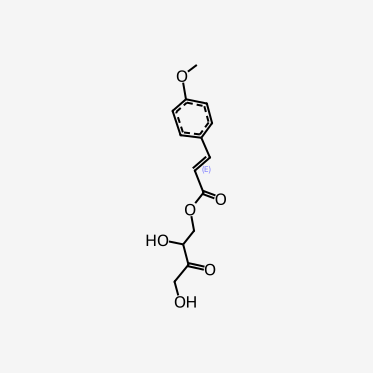 COc1ccc(/C=C/C(=O)OCC(O)C(=O)CO)cc1